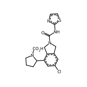 O=C(Nc1nccs1)N1Cc2cc(Cl)cc(C3CCCN3C(=O)O)c2C1